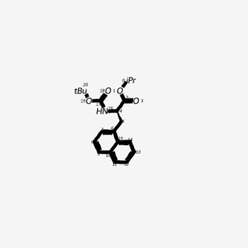 CC(C)OC(=O)[C@@H](Cc1cccc2ccccc12)NC(=O)OC(C)(C)C